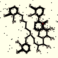 CC(CCN(CCCNCc1cccc(=O)n1O)Cc1cccc(=O)n1O)C(C)N(Cc1cccc(=O)n1O)C(C)C(C)C(C)NCc1cccc(=O)n1O